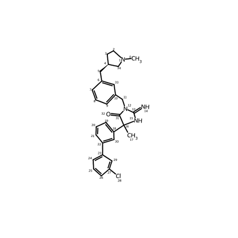 CN1CC[C@H](Cc2cccc(CN3C(=N)NC(C)(c4cccc(-c5cccc(Cl)c5)c4)C3=O)c2)C1